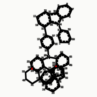 c1ccc(-n2c3ccccc3c3cccc(-c4ccc(N(c5ccccc5-c5cccc6cccc(C7CCCCC7)c56)c5cccc6sc7ccccc7c56)cc4)c32)cc1